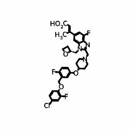 C/C(=C\C(=O)O)c1cc(F)c2nc(CN3CCC(Oc4ccc(F)c(COc5ccc(Cl)cc5F)c4)CC3)n(C[C@@H]3CCO3)c2c1